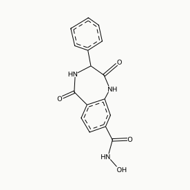 O=C(NO)c1ccc2c(c1)NC(=O)C(c1ccccc1)NC2=O